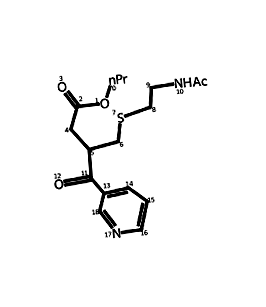 CCCOC(=O)CC(CSCCNC(C)=O)C(=O)c1cccnc1